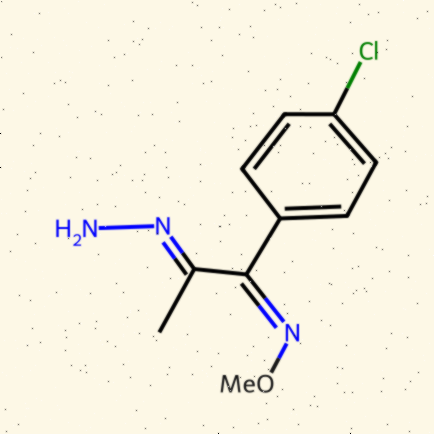 CON=C(C(C)=NN)c1ccc(Cl)cc1